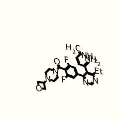 C=C(N)/C=C\C(=C/N)c1c(CC)ncnc1-c1cc(F)c(C(=O)N2CCN(C3COC3)CC2)c(F)c1